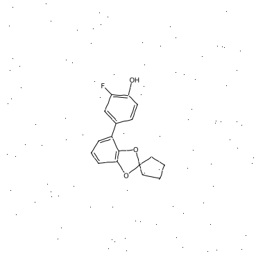 Oc1ccc(-c2cccc3c2OC2(CCCC2)O3)cc1F